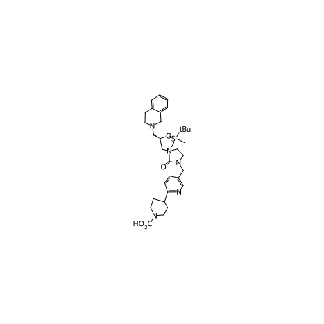 CC(C)(C)[Si](C)(C)O[C@H](CN1CCc2ccccc2C1)CN1CCN(Cc2ccc(C3CCN(C(=O)O)CC3)nc2)C1=O